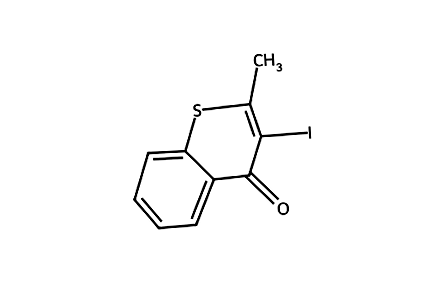 Cc1sc2ccccc2c(=O)c1I